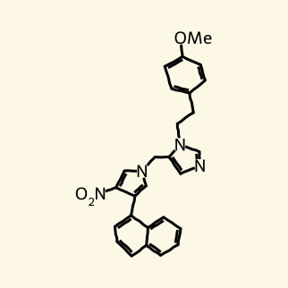 COc1ccc(CCn2cncc2Cn2cc(-c3cccc4ccccc34)c([N+](=O)[O-])c2)cc1